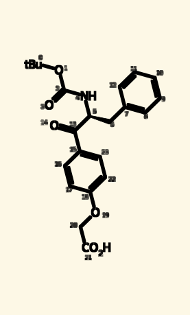 CC(C)(C)OC(=O)N[C@@H](Cc1ccccc1)C(=O)c1ccc(OCC(=O)O)cc1